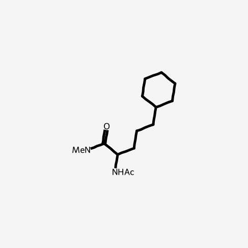 CNC(=O)C(CCCC1CCCCC1)NC(C)=O